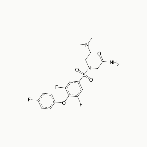 CN(C)CCN(CC(N)=O)S(=O)(=O)c1cc(F)c(Oc2ccc(F)cc2)c(F)c1